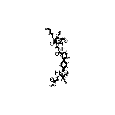 CCCCC[C@@H](C(=O)NCNC(=O)c1cccc(-c2ccc(C(=O)N[C@@H](CCC(=O)OC)C(=O)OC)cc2)n1)[C@@H](CC)N(O)C=O